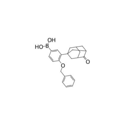 O=C1C2CC3CC1CC(c1cc(B(O)O)ccc1OCc1ccccc1)(C3)C2